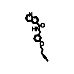 CC#CCCCOc1cccc(CNC(=O)c2ccc3ncccc3c2)c1